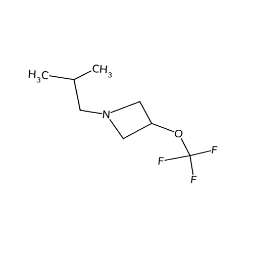 CC(C)CN1CC(OC(F)(F)F)C1